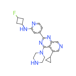 F[C@H]1C[C@@H](Nc2cc(-c3nc(N4CCNCC4)c4c(C5CC5)cncc4n3)ccn2)C1